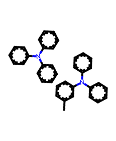 Cc1cccc(N(c2ccccc2)c2ccccc2)c1.c1ccc(N(c2ccccc2)c2ccccc2)cc1